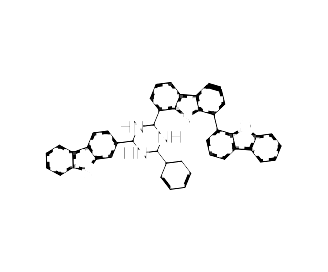 c1cc(-c2cccc3c2oc2ccccc23)c2sc3c(C4NC(c5ccc6c(c5)sc5ccccc56)NC(C5C=CC=CC5)N4)cccc3c2c#1